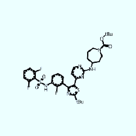 CC(C)(C)OC(=O)N1CCCC(Nc2nccc(-c3sc(C(C)(C)C)nc3-c3cccc(NS(=O)(=O)c4c(F)cccc4F)c3F)n2)CC1